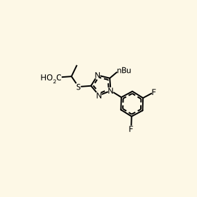 CCCCc1nc(SC(C)C(=O)O)nn1-c1cc(F)cc(F)c1